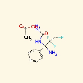 CC(=O)O.NC(=O)NC(N)(c1ccccc1)C(F)(F)CF